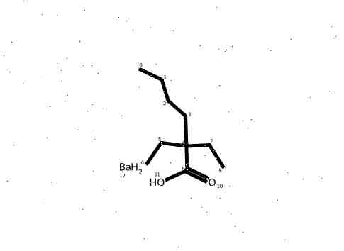 CCCCC(CC)(CC)C(=O)O.[BaH2]